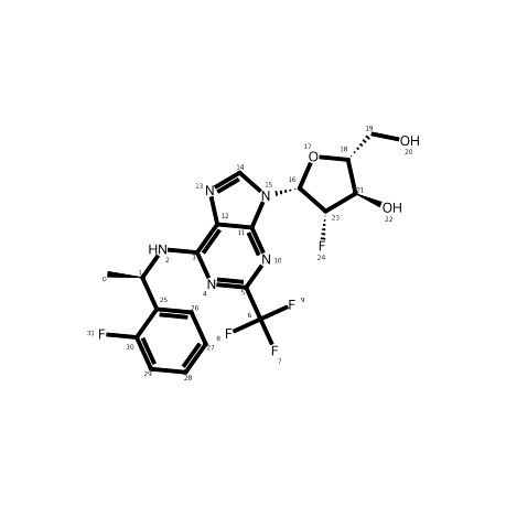 C[C@@H](Nc1nc(C(F)(F)F)nc2c1ncn2[C@@H]1O[C@H](CO)[C@@H](O)[C@@H]1F)c1ccccc1F